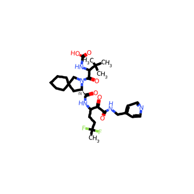 CC(F)(F)CCC(NC(=O)[C@@H]1CC2(CCCCC2)CN1C(=O)C(NC(=O)O)C(C)(C)C)C(=O)C(=O)NCc1ccncc1